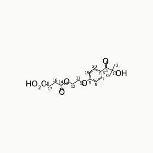 CC(C)(O)C(=O)c1ccc(OCCOC(=O)CCC(=O)O)cc1